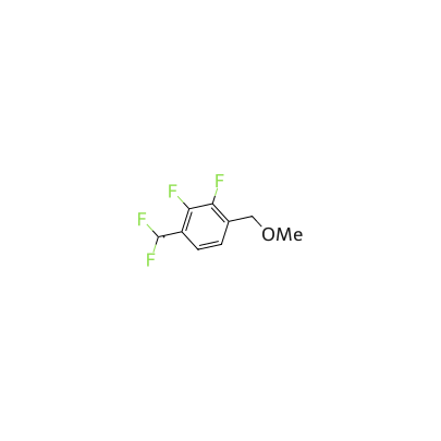 COCc1ccc([C](F)F)c(F)c1F